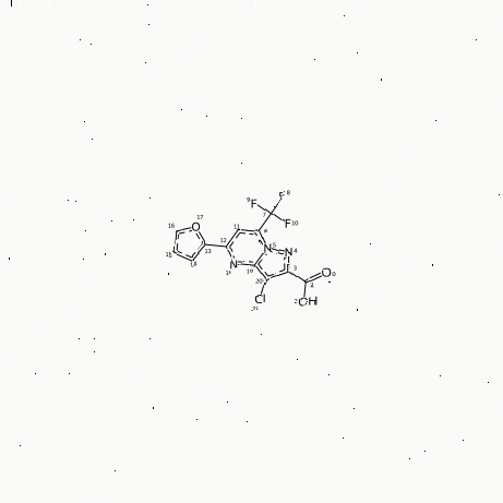 O=C(O)c1nn2c(C(F)(F)F)cc(-c3ccco3)nc2c1Cl